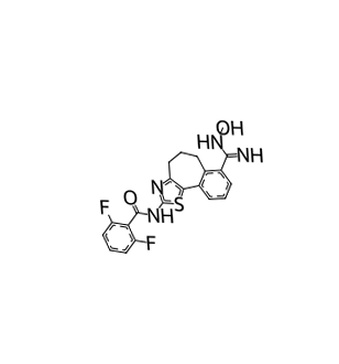 N=C(NO)c1cccc2c1CCCc1nc(NC(=O)c3c(F)cccc3F)sc1-2